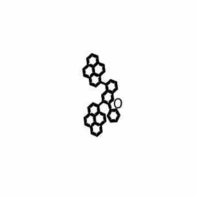 c1cc2ccc3ccc(-c4cccc5c4cc(-c4ccc6ccc7cccc8ccc4c6c78)c4c6ccccc6oc54)c4ccc(c1)c2c34